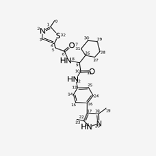 Cc1ncc(CC(=O)NC(C(=O)Nc2ccc(-c3c(C)n[nH]c3C)cc2)C2CCCCC2)s1